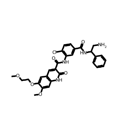 COCCOc1cc2cc(C(=O)Nc3cc(C(=O)NC(CN)c4ccccc4)ccc3Cl)c(=O)[nH]c2cc1OC